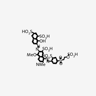 CNc1ccc2c(OC)c(/N=N/c3ccc4cc(S(=O)(=O)O)cc(S(=O)(=O)O)c4c3O)c(S(=O)(=O)O)cc2c1/N=N/c1ccc(S(=O)(=O)CCOS(=O)(=O)O)cc1S(=O)(=O)O